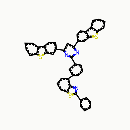 c1ccc(-c2nc3c(-c4cccc(-c5nc(-c6ccc7c(c6)sc6ccccc67)cc(-c6ccc7c(c6)sc6ccccc67)n5)c4)cccc3s2)cc1